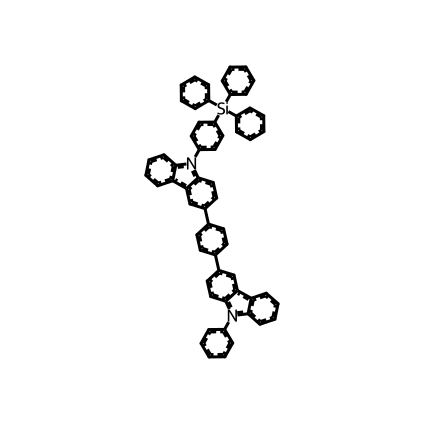 c1ccc(-n2c3ccccc3c3cc(-c4ccc(-c5ccc6c(c5)c5ccccc5n6-c5ccc([Si](c6ccccc6)(c6ccccc6)c6ccccc6)cc5)cc4)ccc32)cc1